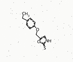 CCc1ccc(OCc2c[nH]c(=S)o2)cc1